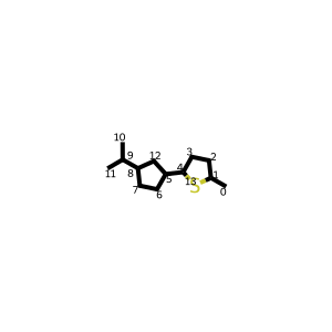 CC1CCC(C2CCC(C(C)C)C2)S1